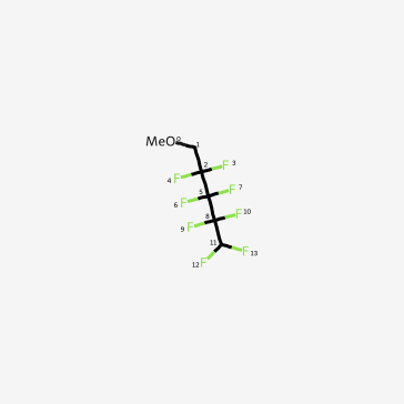 COCC(F)(F)C(F)(F)C(F)(F)C(F)F